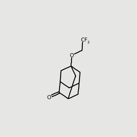 O=C1C2CC3CC1CC(OCC(F)(F)F)(C3)C2